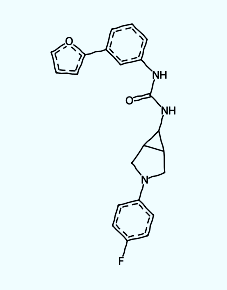 O=C(Nc1cccc(-c2ccco2)c1)NC1C2CN(c3ccc(F)cc3)CC21